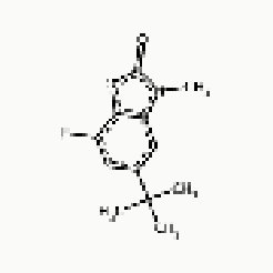 Cn1c(=O)oc2c(F)cc(C(C)(C)C)cc21